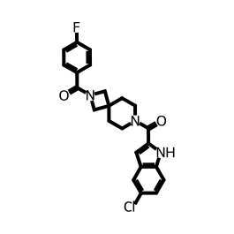 O=C(c1ccc(F)cc1)N1CC2(CCN(C(=O)c3cc4cc(Cl)ccc4[nH]3)CC2)C1